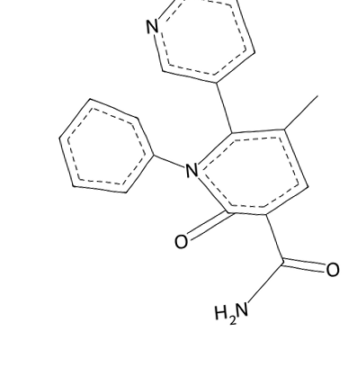 Cc1cc(C(N)=O)c(=O)n(-c2ccccc2)c1-c1cccnc1